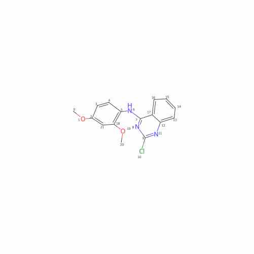 COc1ccc(Nc2nc(Cl)nc3ccccc23)c(OC)c1